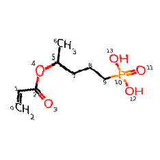 C=CC(=O)OC(C)CCCP(=O)(O)O